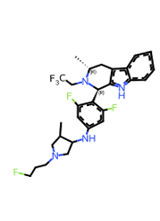 CC1CN(CCCF)CC1Nc1cc(F)c([C@@H]2c3[nH]c4ccccc4c3C[C@@H](C)N2CC(F)(F)F)c(F)c1